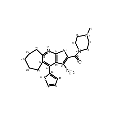 CN1CCN(C(=O)c2sc3nc4c(c(-c5cccs5)c3c2N)CCCCC4)CC1